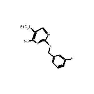 CCOC(=O)c1cnc(SCc2cccc(F)c2)nc1O